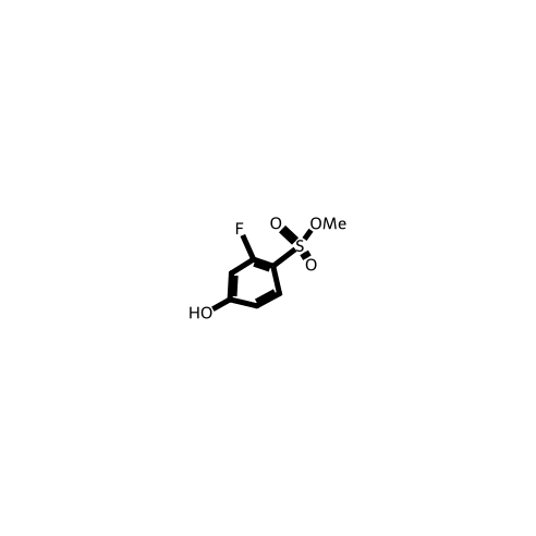 COS(=O)(=O)c1ccc(O)cc1F